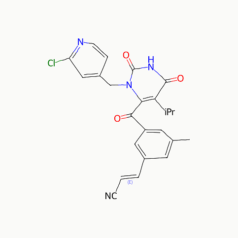 Cc1cc(/C=C/C#N)cc(C(=O)c2c(C(C)C)c(=O)[nH]c(=O)n2Cc2ccnc(Cl)c2)c1